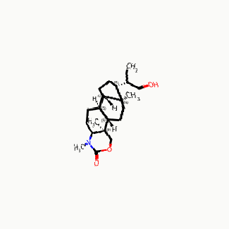 CC(CO)[C@H]1CC[C@H]2[C@@H]3CCC4N(C)C(=O)OC[C@]4(C)[C@H]3CC[C@]12C